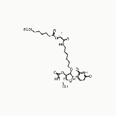 CCCCCCCCCCCCCCCC(=O)O[C@H](C)C(=O)NCCCCCCOC1C(O[PH](=O)O)[C@@H](CO)O[C@H]1n1ccc(=O)[nH]c1=O